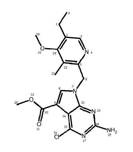 CCc1cnc(Cn2cc(C(=O)OC)c3c(Cl)nc(N)nc32)c(C)c1OC